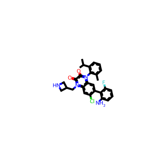 Cc1cccc(C(C)C)c1-n1c(=O)c(=O)n(CC2CNC2)c2cc(Cl)c(-c3c(N)cccc3F)cc21